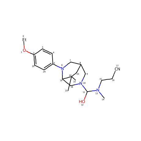 CCOc1ccc(N2CC3CN(C(O)N(C)CCC#N)CC2C(C)(C)C3)cc1